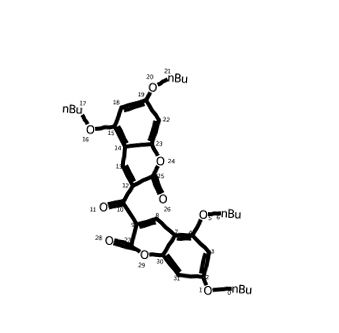 CCCCOc1cc(OCCCC)c2cc(C(=O)c3cc4c(OCCCC)cc(OCCCC)cc4oc3=O)c(=O)oc2c1